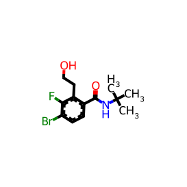 CC(C)(C)NC(=O)c1ccc(Br)c(F)c1CCO